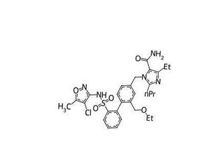 CCCc1nc(CC)c(C(N)=O)n1Cc1ccc(-c2ccccc2S(=O)(=O)Nc2noc(C)c2Cl)c(COCC)c1